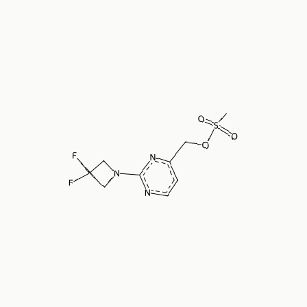 CS(=O)(=O)OCc1ccnc(N2CC(F)(F)C2)n1